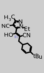 CCn1nc(C)c(C#N)c1/C(O)=C(\C#N)CC1C=CC(C(C)(C)C)=CC1